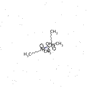 CCCCCCCCc1c(C2=C(O)/C(=C3/C(C)=[N+](CCCCCCCC)c4ccccc43)C2=O)c2ccccc2n1CC